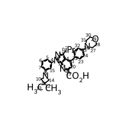 CC(C)c1nn(-c2cccc(N3CC(C)(C)C3)c2)c2nc(C(=O)O)cc(-c3ccc(N4CCOCC4)cc3)c12